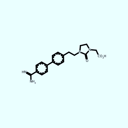 N=C(N)c1ccc(-c2ccc(CCN3CCN(CC(=O)O)C3=O)cc2)cc1